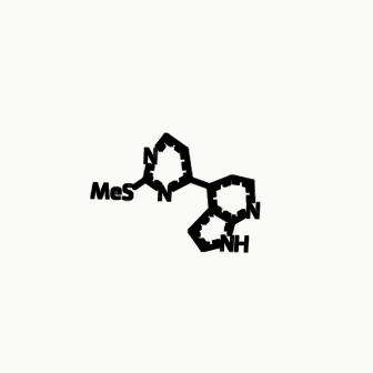 CSc1nccc(-c2ccnc3[nH]ccc23)n1